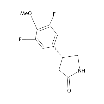 COc1c(F)cc([C@@H]2CNC(=O)C2)cc1F